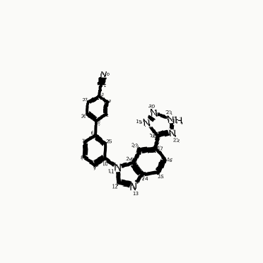 N#Cc1ccc(-c2cccc(-n3cnc4ccc(-c5nn[nH]n5)cc43)c2)cc1